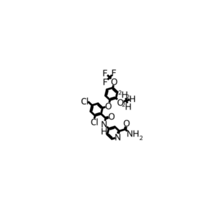 [2H]C([2H])([2H])Oc1cc(OC(F)(F)F)ccc1Oc1cc(Cl)cc(Cl)c1C(=O)Nc1ccnc(C(N)=O)c1